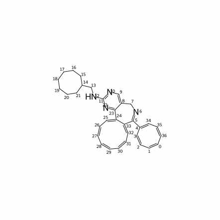 C1=C\C=C/C(C2=NCc3cnc(NCC4CCCCCCC4)nc3-c3ccccccccc32)=C\C=C/1